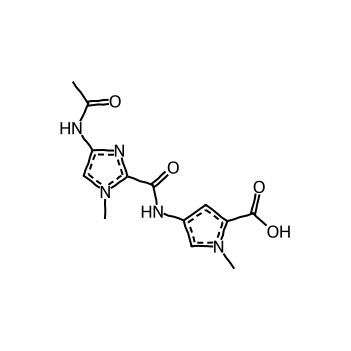 CC(=O)Nc1cn(C)c(C(=O)Nc2cc(C(=O)O)n(C)c2)n1